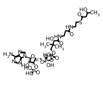 CC(O)CC(=O)SCCNC(=O)CCNC(=O)C(O)C(C)(C)COP(=O)(O)OP(=O)(O)OC[C@H]1O[C@H](n2cnc3c(N)ncnc32)[C@H](O)[C@@H]1OP(=O)(O)O